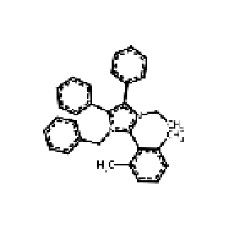 CCn1c(-c2ccccc2)c(-c2ccccc2)[n+](Cc2ccccc2)c1-c1c(C)cccc1C